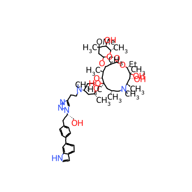 CC[C@H]1OC(=O)[C@H](C)[C@@H](O[C@H]2C[C@@](C)(OC)[C@@H](O)[C@H](C)O2)[C@H](C)[C@@H](O[C@H]2C[C@@H](N(C)CCc3cn([C@H](CO)Cc4ccc(-c5ccc6cc[nH]c6c5)cc4)nn3)C[C@@H](C)O2)[C@](C)(O)C[C@@H](C)CN(C)[C@H](C)[C@@H](O)[C@]1(C)O